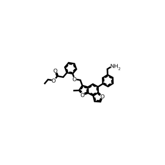 CCOC(=O)Cc1ccccc1OCc1c(C)oc2c1cc(-c1cccc(CN)c1)c1occc12